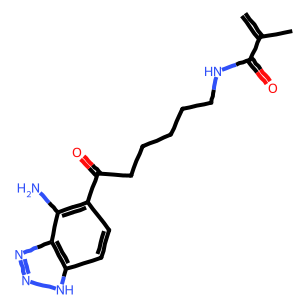 C=C(C)C(=O)NCCCCCC(=O)c1ccc2[nH]nnc2c1N